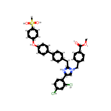 COC(=O)c1ccc(Cn2cc(-c3ccc(Cl)cc3Cl)nc2Cc2ccc(-c3ccc(Oc4ccc(S(C)(=O)=O)cc4)cc3)cc2)cc1